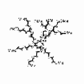 COCCOCCSP1(SCCOCCOC)=NP(SCCOCCOC)(SCCOC(SCCOC)SCCOC)=NP(SCCOC(COC)COC)(SCCOC(CSCOC)CSCOC)=N1